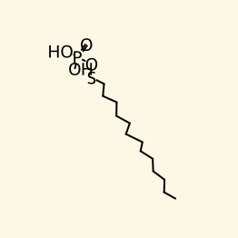 CCCCCCCCCCCCCSOP(=O)(O)O